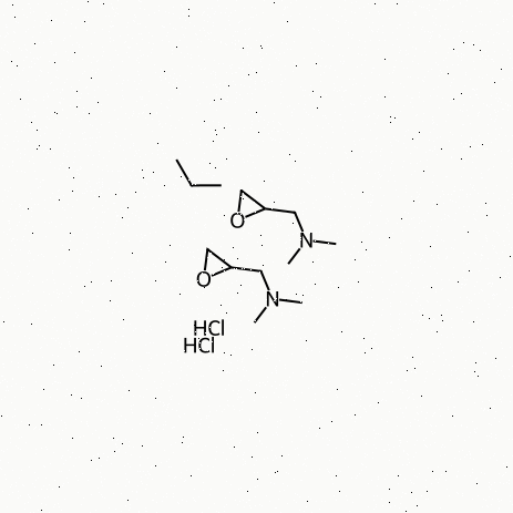 CCC.CN(C)CC1CO1.CN(C)CC1CO1.Cl.Cl